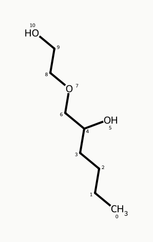 CCCCC(O)COCCO